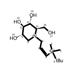 CC(C)(C)[Si](C)(C)/C=C\CN1C[C@H](O)[C@@H](O)[C@H](O)[C@H]1CO